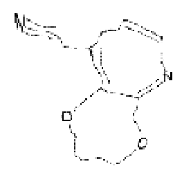 N#Cc1ccnc2c1OCCO2